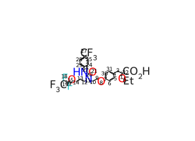 CCOC(Cc1ccc(OCCN(CCCOC(F)(F)C(F)(F)F)C(=O)Nc2ccc(C(F)(F)F)cc2)cc1)C(=O)O